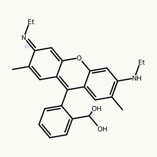 CC/N=c1\cc2oc3cc(NCC)c(C)cc3c(-c3ccccc3C(O)O)c-2cc1C